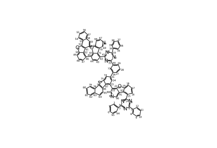 c1ccc(-c2nc(-c3ccccc3)nc(-c3cccc4oc5c(-c6cc(-c7cccc(-c8nc(-c9ccccc9)nc(-c9ccc(-c%10cccc%11oc%12c%13ccccc%13ccc%12c%10%11)c%10oc%11ccncc%11c9%10)n8)c7)cc7sc8c9ccccc9ccc8c67)cncc5c34)n2)cc1